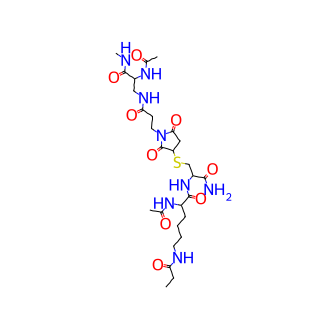 CCC(=O)NCCCCC(NC(C)=O)C(=O)NC(CSC1CC(=O)N(CCC(=O)NCC(NC(C)=O)C(=O)NC)C1=O)C(N)=O